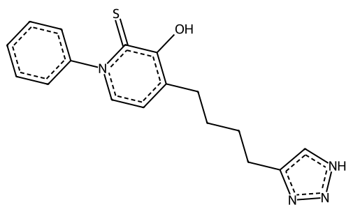 Oc1c(CCCCc2c[nH]nn2)ccn(-c2ccccc2)c1=S